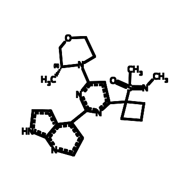 CN=S(C)(=O)C1(c2cc(N3CCOC[C@H]3C)nc(-c3ccnc4[nH]ccc34)n2)CCC1